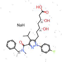 CC(C)c1c(C(=O)N(C)[C@H](C)c2ccccc2)nn(-c2ccc(F)cc2)c1CC[C@@H](O)C[C@@H](O)CC(=O)O.[NaH]